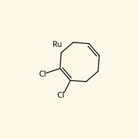 ClC1=C(Cl)CCC=CCC1.[Ru]